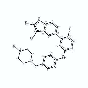 CCN1CCN(Cc2ccc(Nc3ncc(F)c(-c4ccc5nn(CC)c(C(C)C)c5c4)n3)nc2)CC1